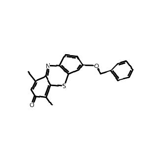 Cc1cc(=O)c(C)c2sc3cc(OCc4ccccc4)ccc3nc1-2